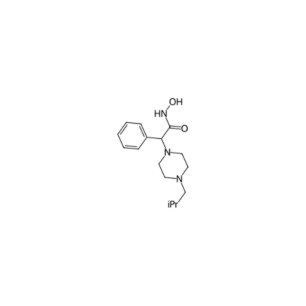 CC(C)CN1CCN(C(C(=O)NO)c2ccccc2)CC1